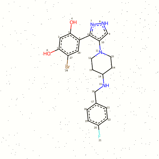 Oc1cc(O)c(-c2n[nH]cc2N2CCC(NCc3ccc(F)cc3)CC2)cc1Br